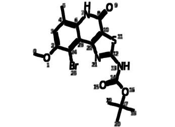 COc1cc(C)c2[nH]c(=O)c3sc(NC(=O)OC(C)(C)C)nc3c2c1Br